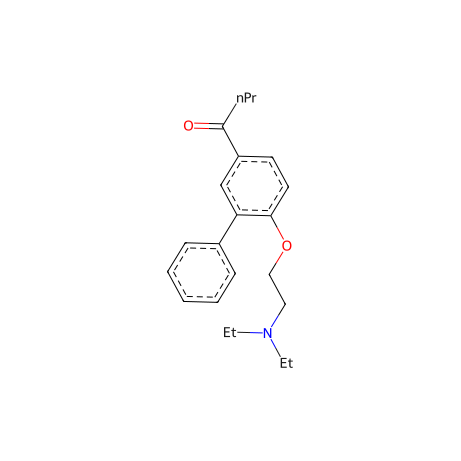 CCCC(=O)c1ccc(OCCN(CC)CC)c(-c2ccccc2)c1